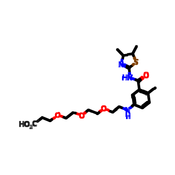 Cc1ccc(NCCOCCOCCOCCC(=O)O)cc1C(=O)NC1=NC(C)C(C)S1